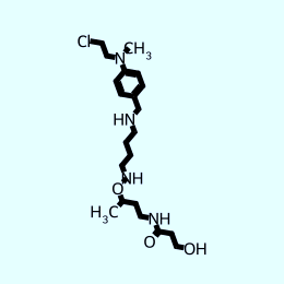 CC(CCNC(=O)CCO)ONCCCCNCc1ccc(N(C)CCCl)cc1